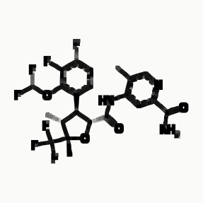 Cc1cnc(C(N)=O)cc1NC(=O)[C@@H]1O[C@](C)(C(F)(F)F)[C@H](C)[C@H]1c1ccc(F)c(F)c1OC(F)F